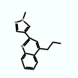 CCCc1cc(-c2cnn(C)c2)nc2ccccc12